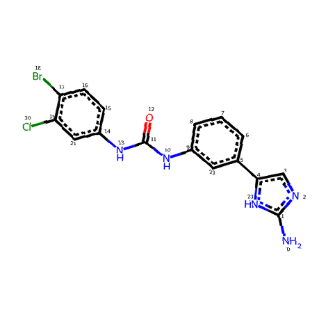 Nc1ncc(-c2cccc(NC(=O)Nc3ccc(Br)c(Cl)c3)c2)[nH]1